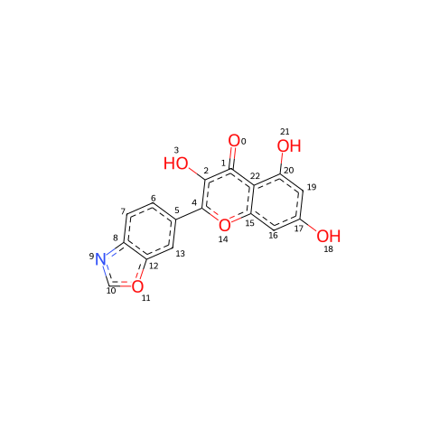 O=c1c(O)c(-c2ccc3ncoc3c2)oc2cc(O)cc(O)c12